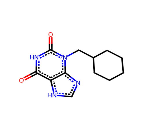 O=c1[nH]c(=O)n(CC2CCCCC2)c2nc[nH]c12